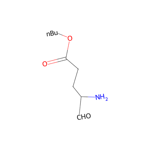 CCCCOC(=O)CCC(N)C=O